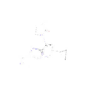 CC(N)c1cn2cc(C3CC3)cc(N3CCN(C)C3=O)c2n1